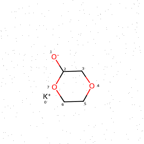 [K+].[O-]C1COCCO1